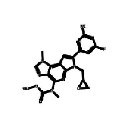 [C-]#[N+]c1cc(F)cc(-c2cc3c4c(ncn4C)c(N(C)C(=O)OC(C)(C)C)nc3n2CC2CO2)c1